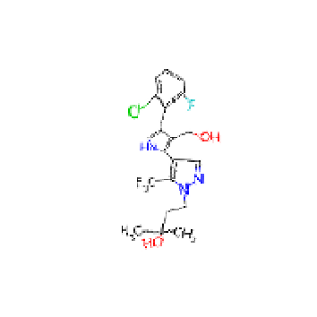 CC(C)(O)CCn1ncc(-c2[nH]cc(-c3c(F)cccc3Cl)c2CO)c1C(F)(F)F